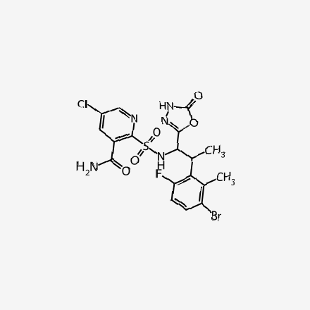 Cc1c(Br)ccc(F)c1C(C)C(NS(=O)(=O)c1ncc(Cl)cc1C(N)=O)c1n[nH]c(=O)o1